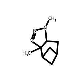 CN1N=NC2(C)C3CC(C3)CC12